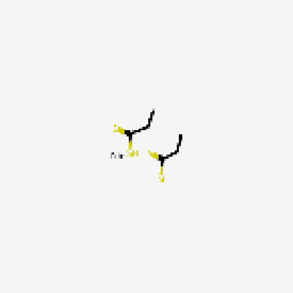 CCC(=S)S.CCC(=S)S.[Na]